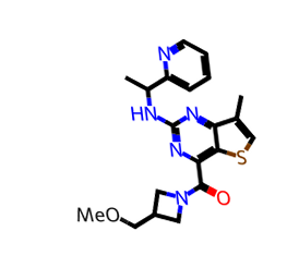 COCC1CN(C(=O)c2nc(NC(C)c3ccccn3)nc3c(C)csc23)C1